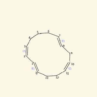 [C]1=C/C=C\CCC/C=C/C/C=C\CC/1